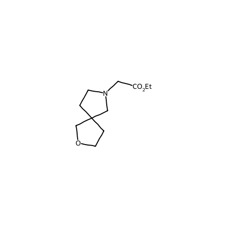 CCOC(=O)CN1CCC2(CCOC2)C1